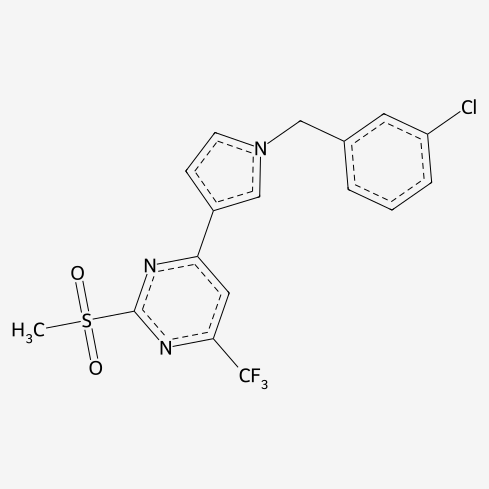 CS(=O)(=O)c1nc(-c2ccn(Cc3cccc(Cl)c3)c2)cc(C(F)(F)F)n1